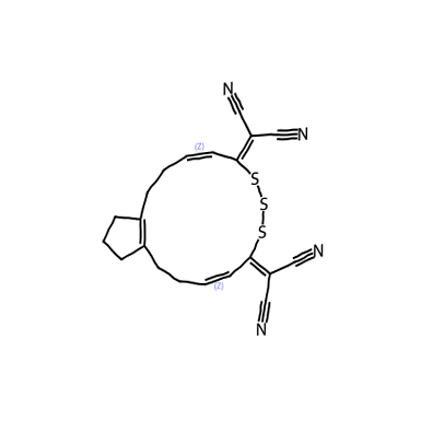 N#CC(C#N)=C1/C=C\CCC2=C(CC/C=C\C(=C(C#N)C#N)SSS1)CCC2